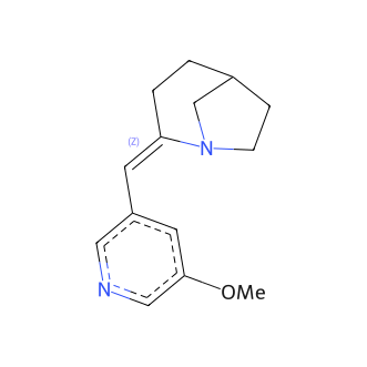 COc1cncc(/C=C2/CCC3CCN2C3)c1